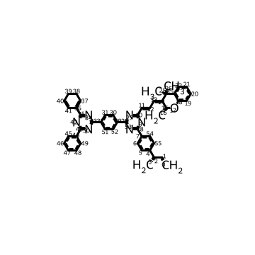 C=CC(=C)c1ccc(-c2nc(C=C/C=C3\C(=C)Oc4ccccc4C3(C)C)nc(-c3ccc(-c4nc(C5=CCCC=C5)nc(-c5ccccc5)n4)cc3)n2)cc1